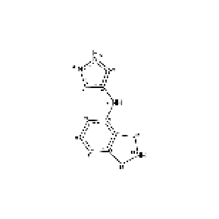 c1cc2c(c(Nc3cn[nH]c3)c1)CNC2